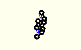 c1ccc2c(c1)-c1ccccc1C21c2c(ccc3c2c2cccc4c5ccccc5n3c42)-c2ccc3c(c21)c1cccc2c4ccccc4n3c21